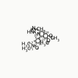 CCN(CC)C(=O)c1ccc(C2c3cc(OC)c(OC)cc3CCN2Cc2[nH]cnc2C)cc1